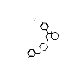 COc1ccc(C(CCN2CCN(Cc3cccc(C(F)(F)F)c3)CC2)C2(O)CCCCC2)cc1